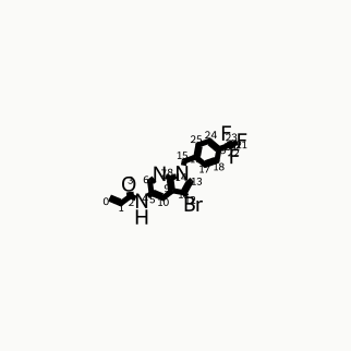 C=CC(=O)Nc1cnc2c(c1)c(Br)cn2Cc1ccc(C(F)(F)F)cc1